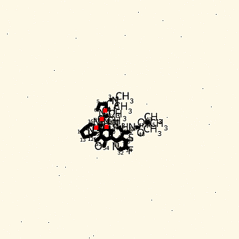 CN(C)C[C@H]1CCN(c2nc(N3C4CCC3CN(C(=O)OC(C)(C)C)C4)c3c4c(c(-c5ncc(F)c6sc(NC(=O)OC(C)(C)C)c(C#N)c56)c(F)c3n2)COC4)C1